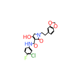 O=C(Nc1ccc(F)c(Cl)c1)C1=C(O)CN(CCc2ccc3c(c2)OCO3)C1=O